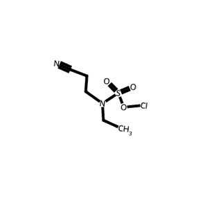 CCN(CCC#N)S(=O)(=O)OCl